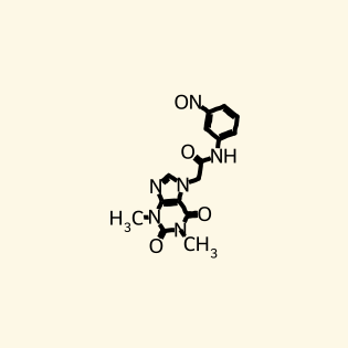 Cn1c(=O)c2c(ncn2CC(=O)Nc2cccc(N=O)c2)n(C)c1=O